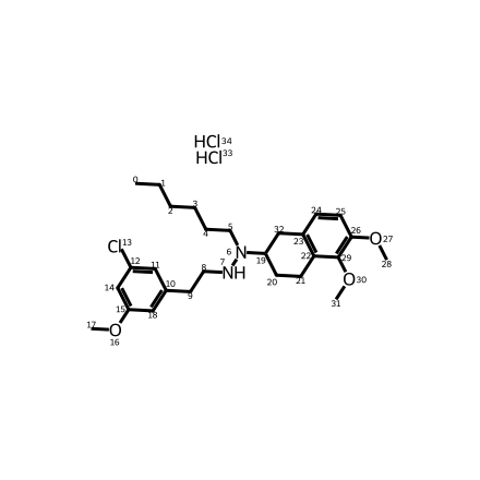 CCCCCCN(NCCc1cc(Cl)cc(OC)c1)C1CCc2c(ccc(OC)c2OC)C1.Cl.Cl